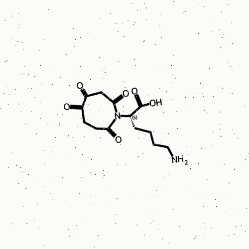 NCCCC[C@@H](C(=O)O)N1C(=O)CCC(=O)C(=O)CC1=O